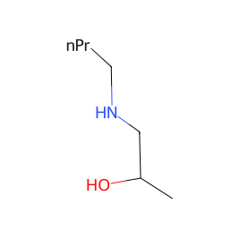 CCCCNCC(C)O